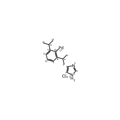 C1=C[NH2+]C=N1.CC(C)c1cccc(C(C)C)[c]1[Pd].[Cl-]